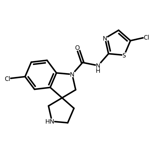 O=C(Nc1ncc(Cl)s1)N1CC2(CCNC2)c2cc(Cl)ccc21